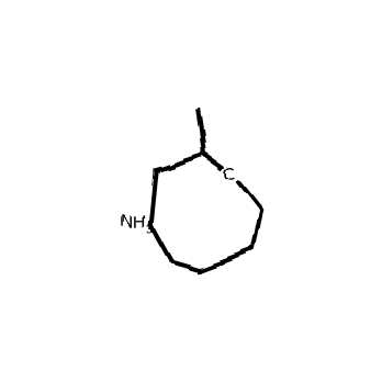 CC1CCCCCCC1.N